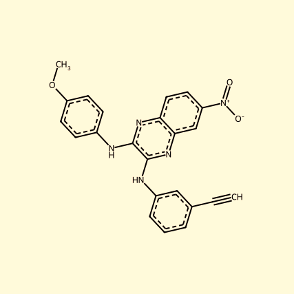 C#Cc1cccc(Nc2nc3cc([N+](=O)[O-])ccc3nc2Nc2ccc(OC)cc2)c1